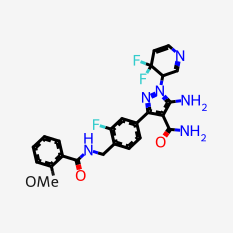 COc1ccccc1C(=O)NCc1ccc(-c2nn(C3C=NC=CC3(F)F)c(N)c2C(N)=O)cc1F